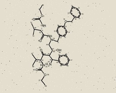 CCOC(=O)N[C@H](C(=O)NN(Cc1ccc(OCc2ccccc2)cc1)C[C@H](O)C(C(=O)[C@@H](NC(=O)OCC)C(C)C)C(N)c1ccccc1)C(C)C